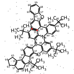 CC(C)(C)c1ccc2c(c1)B1c3ccc4c5c6c(ccc5n(C(C)(C)C)c4c3Oc3cc(C(C)(C)C)cc(c31)N2c1ccc(C(C)(C)C)cc1-c1cccc2c1oc1ccccc12)CCC6